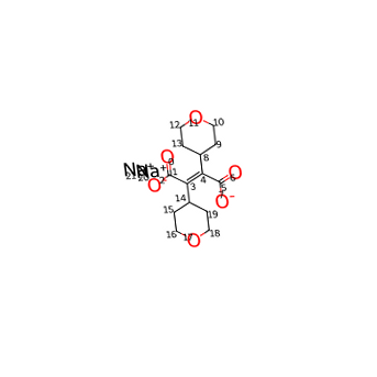 O=C([O-])C(=C(C(=O)[O-])C1CCOCC1)C1CCOCC1.[Na+].[Na+]